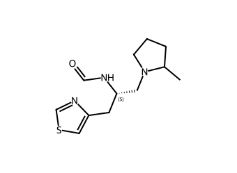 CC1CCCN1C[C@H](Cc1cscn1)NC=O